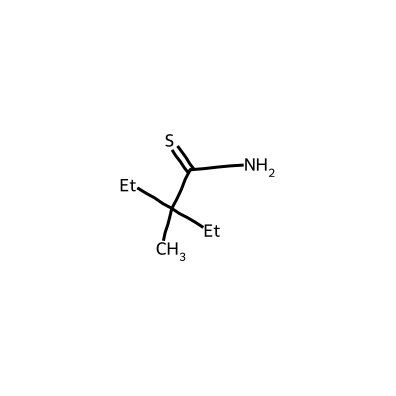 CCC(C)(CC)C(N)=S